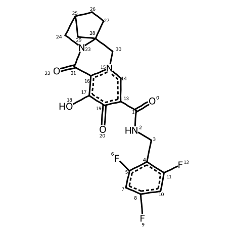 O=C(NCc1c(F)cc(F)cc1F)c1cn2c(c(O)c1=O)C(=O)N1CC3CCC1(C3)C2